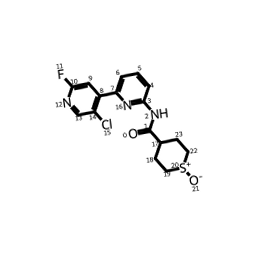 O=C(Nc1cccc(-c2cc(F)ncc2Cl)n1)C1CC[S+]([O-])CC1